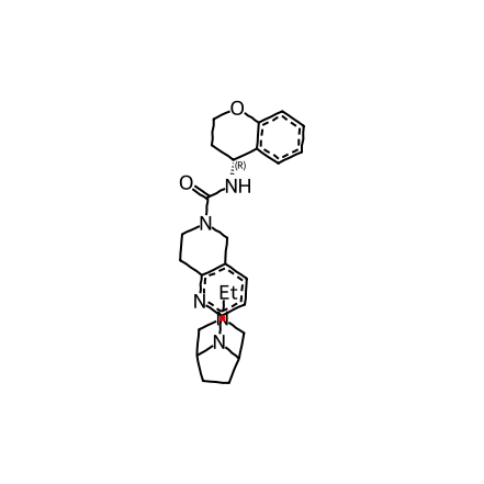 CCN1CC2CCC(C1)N2c1ccc2c(n1)CCN(C(=O)N[C@@H]1CCOc3ccccc31)C2